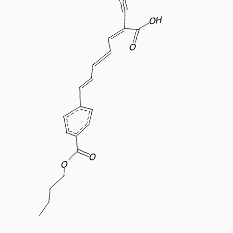 CCCCOC(=O)c1ccc(C=CC=CC=C(C#N)C(=O)O)cc1